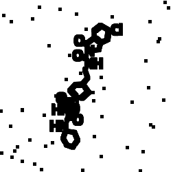 O=C(NC1CCCCC1)NS(=O)(=O)c1ccc(CCNC(=O)N2Cc3cc(Cl)ccc3C2=O)cc1